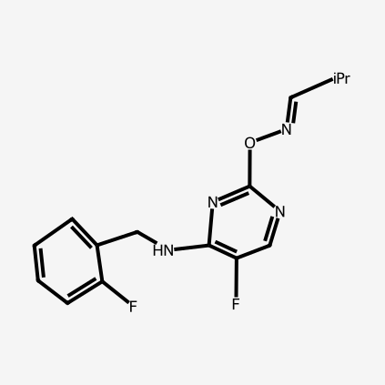 CC(C)/C=N/Oc1ncc(F)c(NCc2ccccc2F)n1